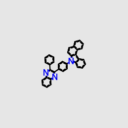 c1ccc(-c2nc3ccccc3nc2-c2ccc(-n3c4ccccc4c4c5ccccc5ccc43)cc2)cc1